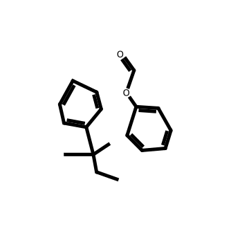 CCC(C)(C)c1ccccc1.O=COc1ccccc1